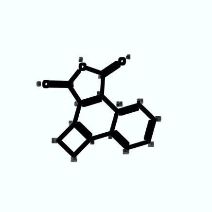 O=C1OC(=O)c2c1c1c(c3ccccc23)CC1